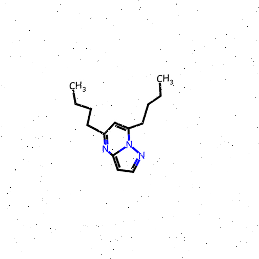 CCCCc1cc(CCCC)n2nccc2n1